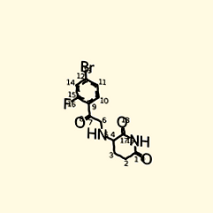 O=C1CCC(NCC(=O)c2ccc(Br)cc2F)C(=O)N1